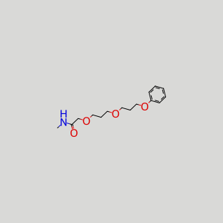 CNC(=O)COCCCOCCCOc1ccccc1